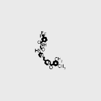 Cc1cc(C)cc(C(=O)N2CCC(CCN3CC[C@@H](NC(=O)CNC(=O)c4cccc(C(F)(F)F)c4)C3)CC2)c1